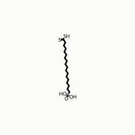 O=P(O)(O)CCCCCCCCCCCCCCCCCC(=S)S